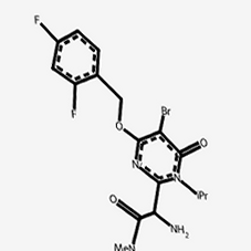 CNC(=O)C(N)c1nc(OCc2ccc(F)cc2F)c(Br)c(=O)n1C(C)C